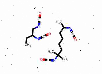 CC(CCCCC(C)(C)N=C=O)N=C=O.CCC(CN=C=O)N=C=O